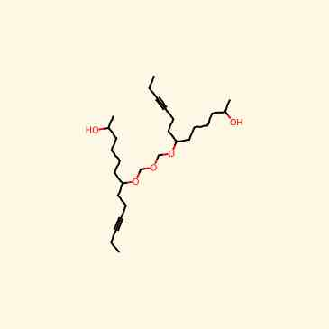 CCC#CCCC(CCCCC(C)O)OCOCOC(CCC#CCC)CCCCC(C)O